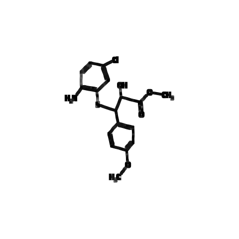 COC(=O)C(O)C(Sc1cc(Cl)ccc1N)c1ccc(OC)cc1